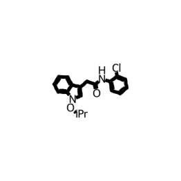 CC(C)On1cc(CC(=O)Nc2ccccc2Cl)c2ccccc21